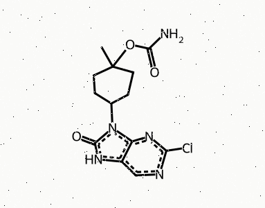 CC1(OC(N)=O)CCC(n2c(=O)[nH]c3cnc(Cl)nc32)CC1